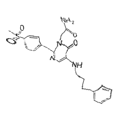 CS(=O)(=O)c1ccc(-c2ncc(NCCCc3ccccc3)c(=O)n2CC(N)=O)cc1